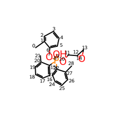 Cc1ccccc1OP(O)(OCC1CO1)(c1ccccc1C)c1ccccc1C